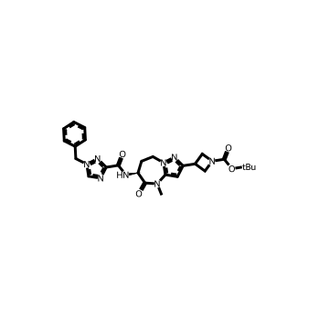 CN1C(=O)[C@@H](NC(=O)c2ncn(Cc3ccccc3)n2)CCn2nc(C3CN(C(=O)OC(C)(C)C)C3)cc21